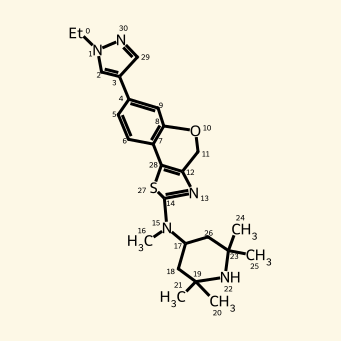 CCn1cc(-c2ccc3c(c2)OCc2nc(N(C)C4CC(C)(C)NC(C)(C)C4)sc2-3)cn1